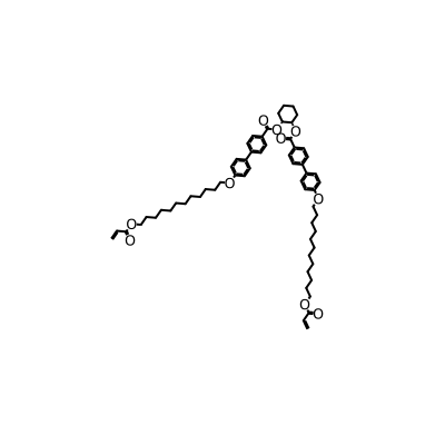 C=CC(=O)OCCCCCCCCCCCCOc1ccc(-c2ccc(C(=O)O[C@@H]3CCCC[C@H]3OC(=O)c3ccc(-c4ccc(OCCCCCCCCCCCCOC(=O)C=C)cc4)cc3)cc2)cc1